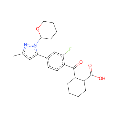 Cc1cc(-c2ccc(C(=O)C3CCCCC3C(=O)O)c(F)c2)n(C2CCCCO2)n1